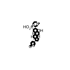 CN1CCCN(C(=O)O)C([C@H]2CC[C@]3(C)[C@H]4CC[C@]5(C)[C@@H](c6ccc(=O)oc6)CC[C@]5(O)[C@@H]4CC[C@]3(O)C2)C1